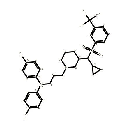 O=S(=O)(c1cccc(C(F)(F)F)c1)C(C1CC1)C1CCCN(CCCN(c2ccc(F)cc2)c2ccc(F)cc2)C1